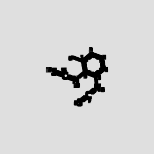 Cc1cccc(N=C=S)c1N=C=S